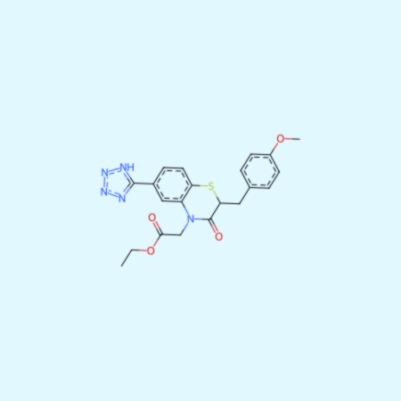 CCOC(=O)CN1C(=O)C(Cc2ccc(OC)cc2)Sc2ccc(-c3nnn[nH]3)cc21